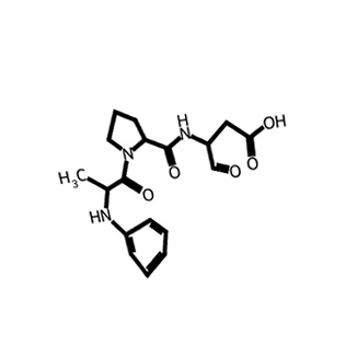 CC(Nc1ccccc1)C(=O)N1CCCC1C(=O)NC(C=O)CC(=O)O